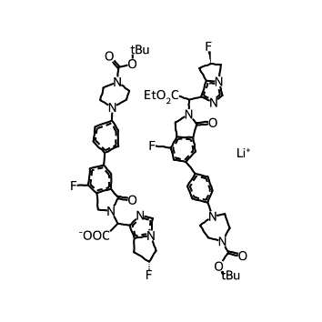 CC(C)(C)OC(=O)N1CCN(c2ccc(-c3cc(F)c4c(c3)C(=O)N(C(C(=O)[O-])c3ncn5c3C[C@@H](F)C5)C4)cc2)CC1.CCOC(=O)C(c1ncn2c1C[C@@H](F)C2)N1Cc2c(F)cc(-c3ccc(N4CCN(C(=O)OC(C)(C)C)CC4)cc3)cc2C1=O.[Li+]